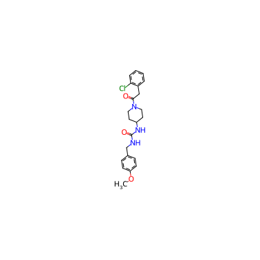 COc1ccc(CNC(=O)NC2CCN(C(=O)Cc3ccccc3Cl)CC2)cc1